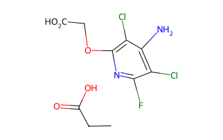 CCC(=O)O.Nc1c(Cl)c(F)nc(OCC(=O)O)c1Cl